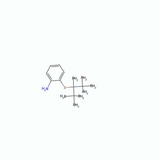 BC(B)(B)C(B)(Sc1ccccc1N)C(B)(B)B